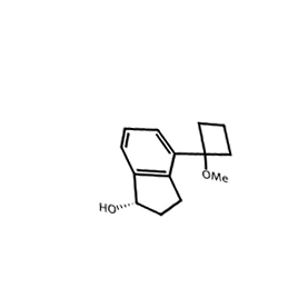 COC1(c2cccc3c2CC[C@@H]3O)CCC1